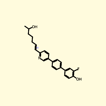 CC(O)CCC/C=C/c1ccc(-c2ccc(-c3ccc(O)c(F)c3)cc2)cn1